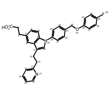 O=C(O)CCc1ccc2c(c1)c(CCc1ccccn1)cn2-c1ccc(COc2ccc(F)cc2)cc1